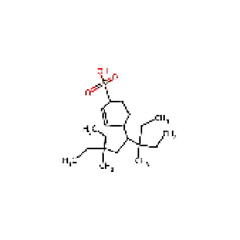 CCC(C)(CC)CC(C1C=CC(S(=O)(=O)O)CC1)C(C)(CC)CC